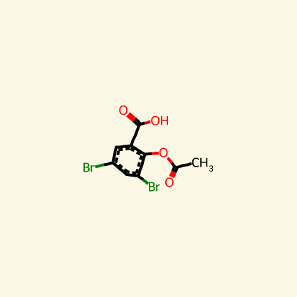 CC(=O)Oc1c(Br)cc(Br)cc1C(=O)O